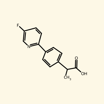 CC(C(=O)O)c1ccc(-c2ccc(F)cn2)cc1